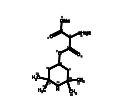 CCCCCCCC(C(=O)OC)C(=O)OC1CC(C)(C)NC(C)(C)C1